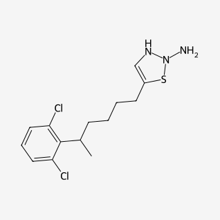 CC(CCCCC1=CNN(N)S1)c1c(Cl)cccc1Cl